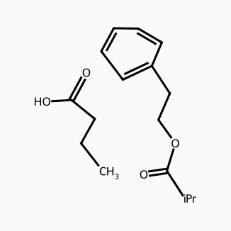 CC(C)C(=O)OCCc1ccccc1.CCCC(=O)O